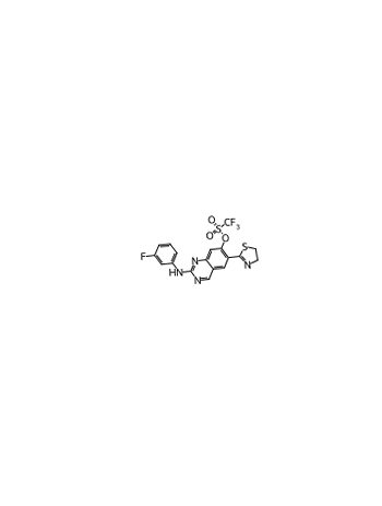 O=S(=O)(Oc1cc2nc(Nc3cccc(F)c3)ncc2cc1C1=NCCS1)C(F)(F)F